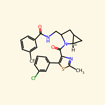 Cc1nc(C(=O)N2C(CNC(=O)c3cccc(C(F)(F)F)c3)CC3C[C@@H]32)c(-c2cccc(Cl)c2)s1